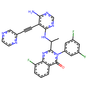 CC(Nc1ncnc(N)c1C#Cc1cnccn1)c1nc2c(F)cccc2c(=O)n1-c1cc(F)cc(F)c1